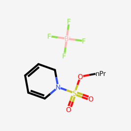 CCCOS(=O)(=O)N1C=CC=CC1.F[B-](F)(F)F